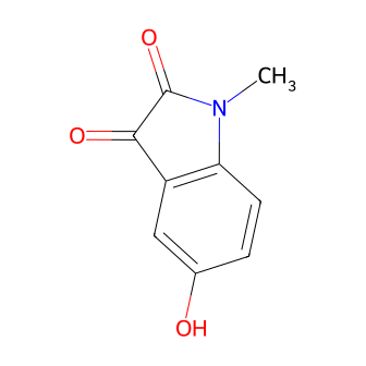 CN1C(=O)C(=O)c2cc(O)ccc21